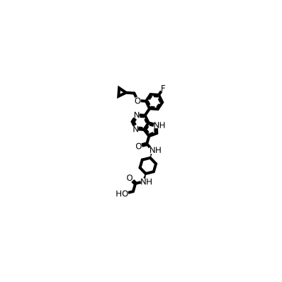 O=C(CO)N[C@H]1CC[C@H](NC(=O)c2c[nH]c3c(-c4ccc(F)cc4OCC4CC4)ncnc23)CC1